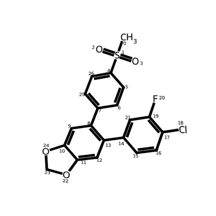 CS(=O)(=O)c1ccc(-c2cc3c(cc2-c2ccc(Cl)c(F)c2)OCO3)cc1